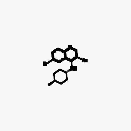 CC(=O)c1cnc2ccc(Br)cc2c1N[C@H]1CC[C@H](C)CC1